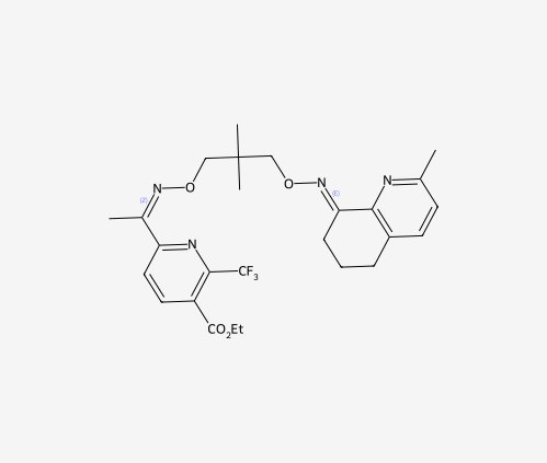 CCOC(=O)c1ccc(/C(C)=N\OCC(C)(C)CO/N=C2\CCCc3ccc(C)nc32)nc1C(F)(F)F